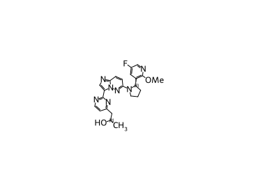 COc1ncc(F)cc1[C@H]1CCCN1c1ccc2ncc(-c3nccc(C[C@@H](C)O)n3)n2n1